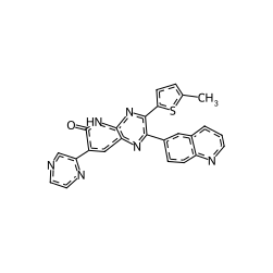 Cc1ccc(-c2nc3[nH]c(=O)c(-c4cnccn4)cc3nc2-c2ccc3ncccc3c2)s1